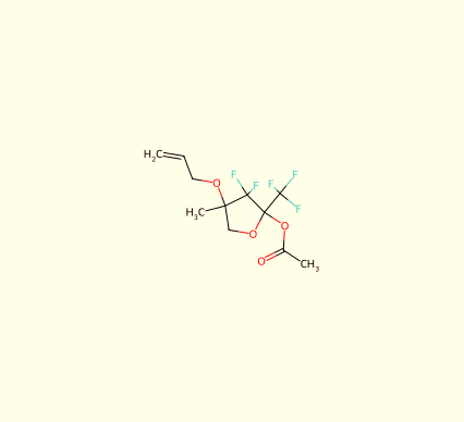 C=CCOC1(C)COC(OC(C)=O)(C(F)(F)F)C1(F)F